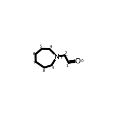 O=C[CH]N1CCCCCC1